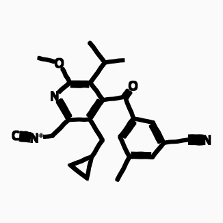 [C-]#[N+]Cc1nc(OC)c(C(C)C)c(C(=O)c2cc(C)cc(C#N)c2)c1CC1CC1